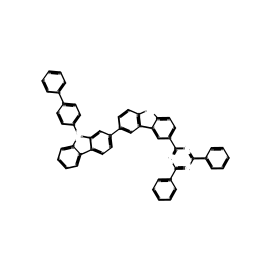 c1ccc(-c2ccc(-n3c4ccccc4c4ccc(-c5ccc6oc7ccc(-c8nc(-c9ccccc9)nc(-c9ccccc9)n8)cc7c6c5)cc43)cc2)cc1